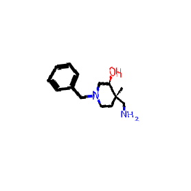 C[C@@]1(CN)CCN(Cc2ccccc2)C[C@H]1O